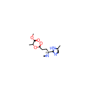 C=N[C@@H](CCC(=O)OC(C)C(=O)OC)c1ncc(C)[nH]1